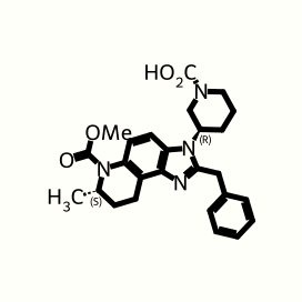 COC(=O)N1c2ccc3c(nc(Cc4ccccc4)n3[C@@H]3CCCN(C(=O)O)C3)c2CC[C@@H]1C